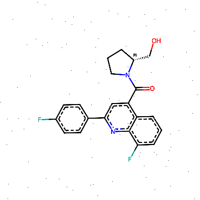 O=C(c1cc(-c2ccc(F)cc2)nc2c(F)cccc12)N1CCC[C@@H]1CO